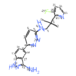 CC(C)(CNc1ccc(-c2ccc3[nH]nc(N)c3c2)nn1)c1ncccc1F